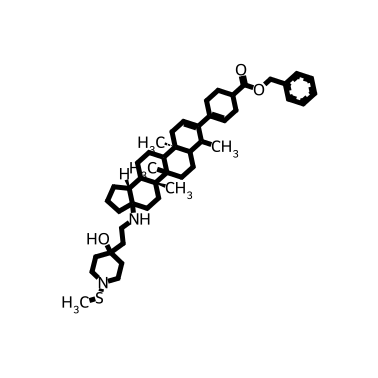 CSN1CCC(O)(CCNC23CCC[C@@H]2C2CCC4C(C)(CCC5C(C)C(C6=CCC(C(=O)OCc7ccccc7)CC6)=CC[C@@]54C)[C@]2(C)CC3)CC1